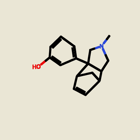 CN1CC2C3C=CC(C3)C2(c2cccc(O)c2)C1